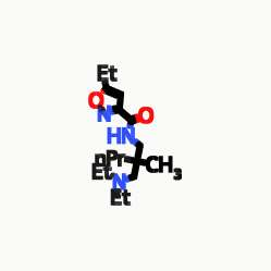 CCCC(C)(CNC(=O)c1cc(CC)on1)CN(CC)CC